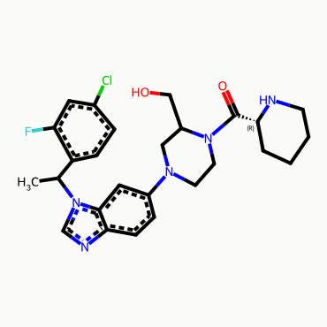 CC(c1ccc(Cl)cc1F)n1cnc2ccc(N3CCN(C(=O)[C@H]4CCCCN4)C(CO)C3)cc21